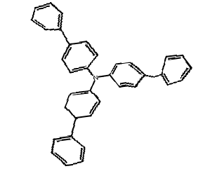 C1=CC(c2ccccc2)CC=C1N(c1ccc(-c2ccccc2)cc1)c1ccc(-c2ccccc2)cc1